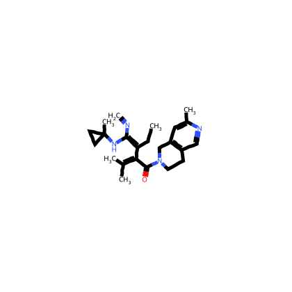 C=N/C(NC1(C)CC1)=C(\CC)C(C(=O)N1CCc2cnc(C)cc2C1)=C(C)C